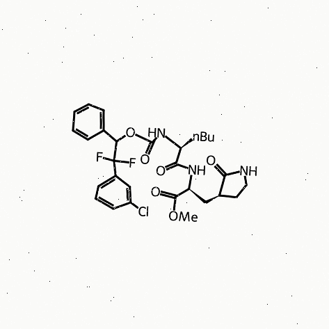 CCCC[C@H](NC(=O)OC(c1ccccc1)C(F)(F)c1cccc(Cl)c1)C(=O)N[C@@H](C[C@@H]1CCNC1=O)C(=O)OC